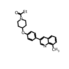 CCC(=O)N1CCC(Oc2ccc(-c3cnc4c(C)cccc4c3)cc2)CC1